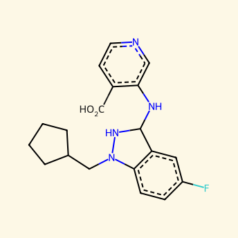 O=C(O)c1ccncc1NC1NN(CC2CCCC2)c2ccc(F)cc21